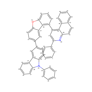 c1ccc(-c2cc(-c3cccc4oc5ccc(-c6ccc7c(c6)c6ccccc6n7-c6ccccc6)cc5c34)c3c(ccc4ccccc43)n2)cc1